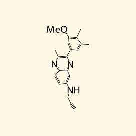 C#CCNc1ccc2nc(C)c(-c3cc(C)c(C)c(OC)c3)nc2c1